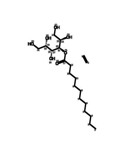 C=C.CCCCCCCCCCCC(=O)O[C@@H]([C@H](O)[C@@H](O)CO)[C@H](O)CO